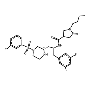 CCCCN1CC(C(=O)NC(Cc2cc(F)cc(F)c2)C[C@H]2CN(S(=O)(=O)c3cccc(Cl)c3)CCN2)CC1=O